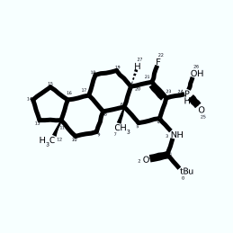 CC(C)(C)C(=O)NC1C[C@]2(C)C3CC[C@]4(C)CCCC4C3CC[C@H]2C(F)=C1[PH](=O)O